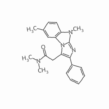 Cc1ccc2c(c1)n1c(CC(=O)N(C)C)c(-c3ccccc3)nc1n2C